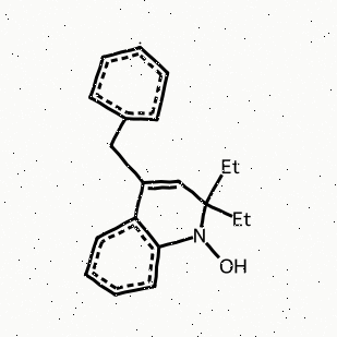 CCC1(CC)C=C(Cc2cc[c]cc2)c2ccccc2N1O